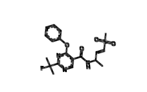 CC(/C=C/S(C)(=O)=O)NC(=O)c1cnc(C(C)(C)F)nc1Oc1ccccc1